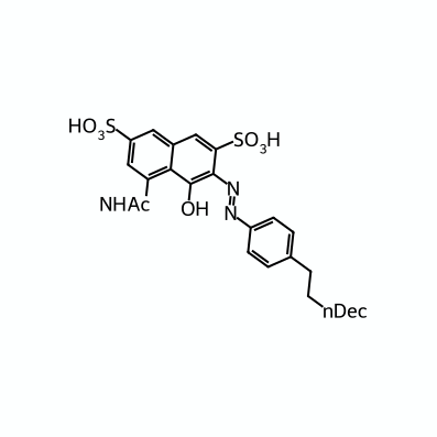 CCCCCCCCCCCCc1ccc(/N=N/c2c(S(=O)(=O)O)cc3cc(S(=O)(=O)O)cc(NC(C)=O)c3c2O)cc1